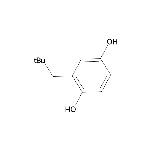 CC(C)(C)Cc1cc(O)ccc1O